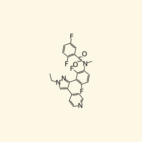 CCn1cc(-c2ccncc2)c(-c2c(F)ccc(N(C)S(=O)(=O)c3cc(F)ccc3F)c2F)n1